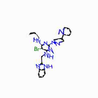 C#CCNc1nc(-n2cc(-c3ccccn3)cn2)nc(NCc2nc3ccccc3[nH]2)c1Br